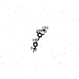 Cc1cc(CNc2ccc(C(F)(F)F)cc2)cc(C)c1NC(=O)O